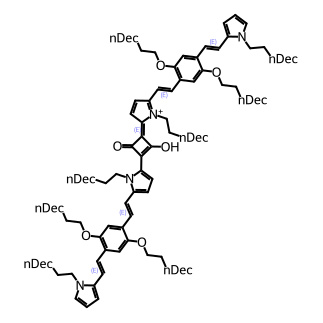 CCCCCCCCCCCCOc1cc(/C=C/c2cccn2CCCCCCCCCCCC)c(OCCCCCCCCCCCC)cc1/C=C/C1=[N+](CCCCCCCCCCCC)C(=C2/C(=O)C(c3ccc(/C=C/c4cc(OCCCCCCCCCCCC)c(/C=C/c5cccn5CCCCCCCCCCCC)cc4OCCCCCCCCCCCC)n3CCCCCCCCCCCC)=C2O)/C=C1